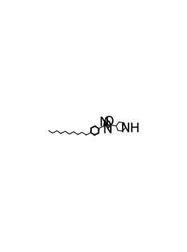 CCCCCCCCCCc1ccc(-c2noc(C3CCNCC3)n2)cc1